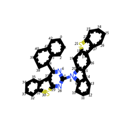 c1ccc2c(-c3nc(-n4c5ccccc5c5cc6c(cc54)sc4ccccc46)nc4sc5ccccc5c34)cccc2c1